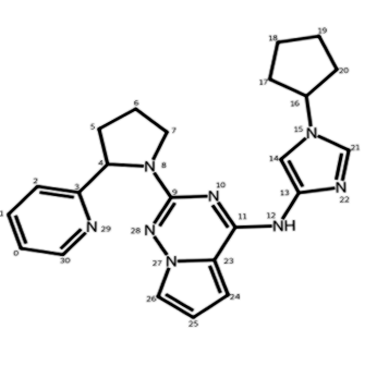 c1ccc(C2CCCN2c2nc(Nc3cn(C4CCCC4)cn3)c3cccn3n2)nc1